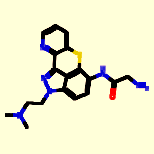 CN(C)CCn1nc2c3c(c(NC(=O)CN)ccc31)Sc1cccnc1-2